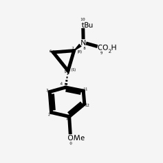 COc1ccc([C@@H]2C[C@H]2N(C(=O)O)C(C)(C)C)cc1